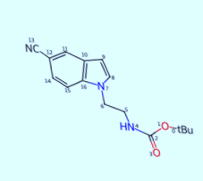 CC(C)(C)OC(=O)NCCn1ccc2cc(C#N)ccc21